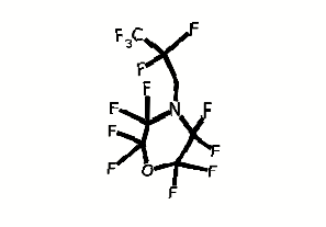 FC(F)(F)C(F)(F)CN1C(F)(F)C(F)(F)OC(F)(F)C1(F)F